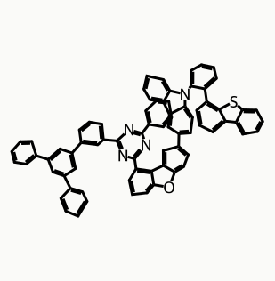 c1ccc(-c2cc(-c3ccccc3)cc(-c3cccc(-c4nc(-c5ccccc5)nc(-c5cccc6oc7ccc(-c8ccc9c(c8)c8ccccc8n9-c8ccccc8-c8cccc9c8sc8ccccc89)cc7c56)n4)c3)c2)cc1